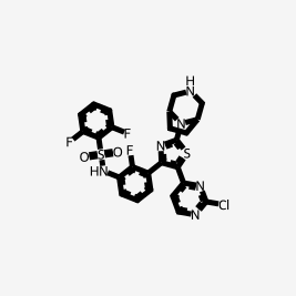 O=S(=O)(Nc1cccc(-c2nc(N3C4CCC3CNC4)sc2-c2ccnc(Cl)n2)c1F)c1c(F)cccc1F